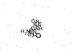 COc1nc(C)nc(NC(=O)n2c(S(N)(=O)=O)c(C)c3ccccc32)n1